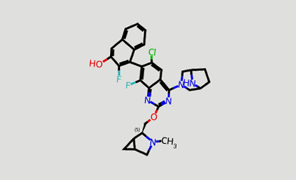 CN1CC2CC2[C@H]1COc1nc(N2CC3CCC(C2)N3)c2cc(Cl)c(-c3c(F)c(O)cc4ccccc34)c(F)c2n1